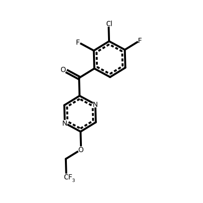 O=C(c1cnc(OCC(F)(F)F)cn1)c1ccc(F)c(Cl)c1F